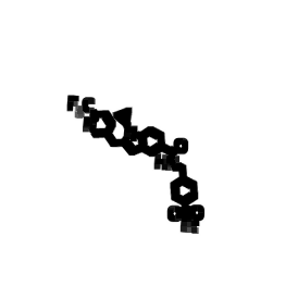 CCS(=O)(=O)c1ccc(CNC(=O)c2ccc3c(c2)cc(Cc2ccc(C(F)(F)F)nc2)n3C2CC2)cc1